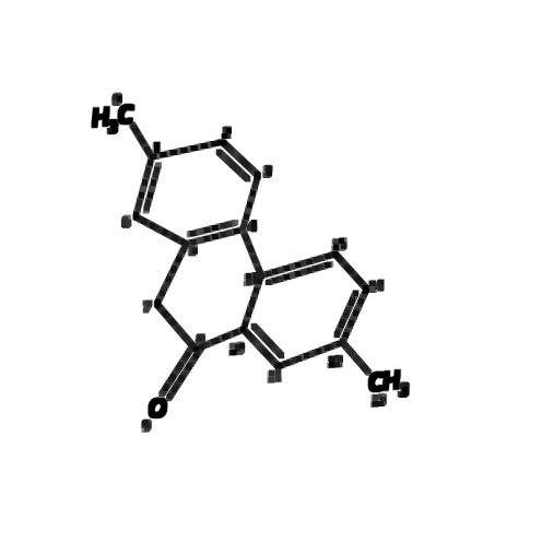 Cc1ccc2c(c1)CC(=O)c1cc(C)ccc1-2